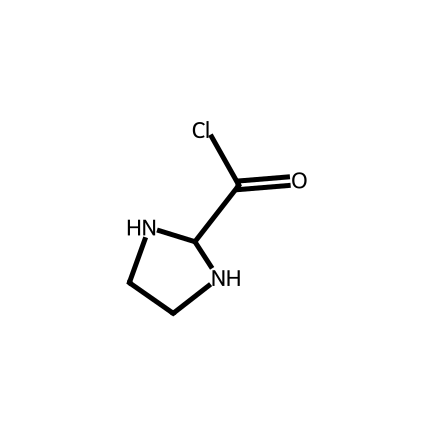 O=C(Cl)C1NCCN1